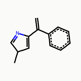 C=C(C1=CC(C)C=N1)c1ccccc1